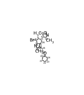 Cc1noc(C)c1-c1cc(Br)c2nc(C)n(CCOc3ccccc3)c2c1